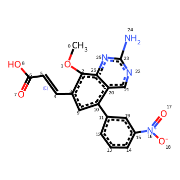 COc1c(/C=C/C(=O)O)cc(-c2cccc([N+](=O)[O-])c2)c2cnc(N)nc12